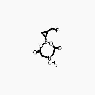 CN1CC(=O)OB(C2CC2CF)OC(=O)C1